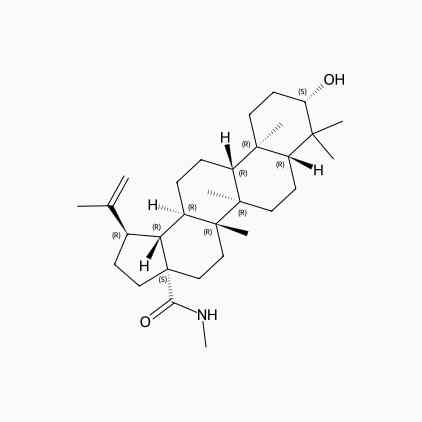 C=C(C)[C@@H]1CC[C@]2(C(=O)NC)CC[C@]3(C)[C@H](CC[C@@H]4[C@@]5(C)CC[C@H](O)C(C)(C)[C@@H]5CC[C@]43C)[C@@H]12